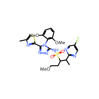 COCCC(C(C)c1ncc(F)cn1)S(=O)(=O)Nc1nnc(-c2nc(C)cs2)n1-c1c(OC)cccc1OC